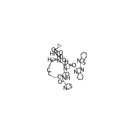 O=C(N[C@H]1CCCCCC=C[C@@H]2C[C@@]2(C(=O)NS(=O)(=O)C2CC2)NC(=O)[C@@H]2C[C@@H](Oc3nc4ccccc4nc3-c3nc4ccccc4s3)CN2C1=O)c1cscn1